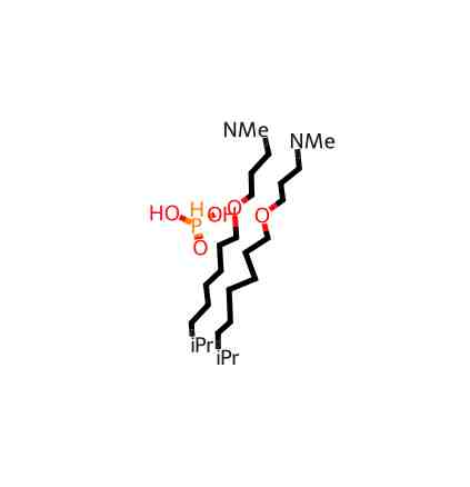 CNCCCOCCCCCCC(C)C.CNCCCOCCCCCCC(C)C.O=[PH](O)O